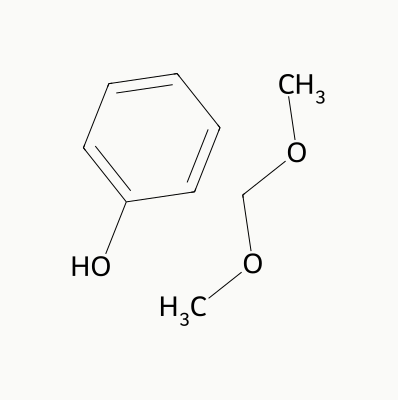 COCOC.Oc1ccccc1